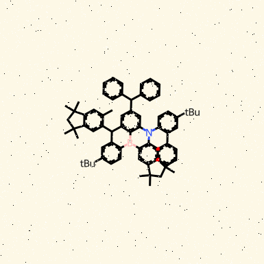 Cc1cc2c(cc1C1c3cc(C(C)(C)C)ccc3B3c4cc5c(cc4N(c4ccc(C(C)(C)C)cc4-c4ccccc4)c4cc(C(c6ccccc6)c6ccccc6)cc1c43)C(C)(C)CC5(C)C)C(C)(C)CC2(C)C